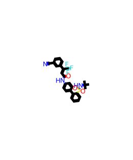 CC(C)(C)NS(=O)(=O)c1ccccc1-c1ccc(NC(=O)C=C(c2cccc(C#N)c2)C(F)(F)F)cc1